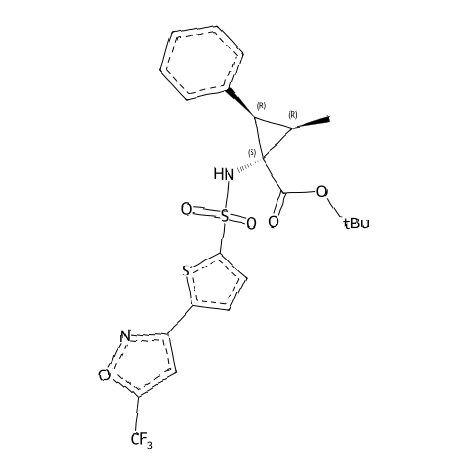 C[C@@H]1[C@H](c2ccccc2)[C@]1(NS(=O)(=O)c1ccc(-c2cc(C(F)(F)F)on2)s1)C(=O)OC(C)(C)C